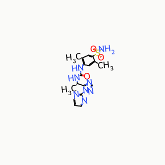 Cc1cc(S(N)(=O)=O)c(C)cc1NC(=O)N[C@@H](C)c1ncnn1-c1ncccn1